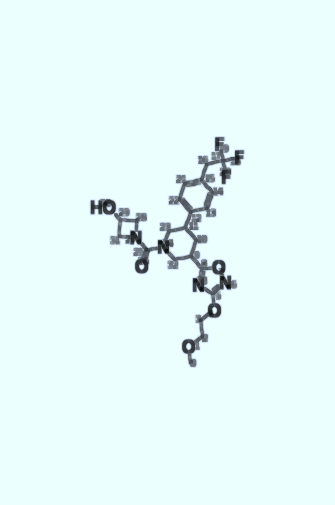 COCCOc1noc(C2CC(c3ccc(CC(F)(F)F)cc3)CN(C(=O)N3CC(O)C3)C2)n1